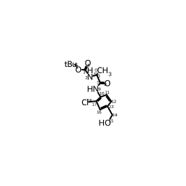 C[C@H](NC(=O)OC(C)(C)C)C(=O)Nc1ccc(CO)cc1Cl